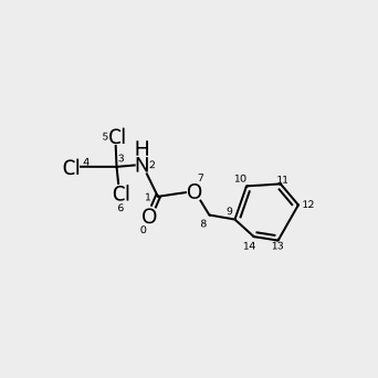 O=C(NC(Cl)(Cl)Cl)OCc1ccccc1